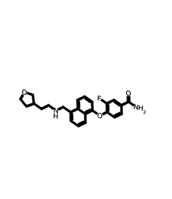 NC(=O)c1ccc(Oc2cccc3c(CNCCC4CCOC4)cccc23)c(F)c1